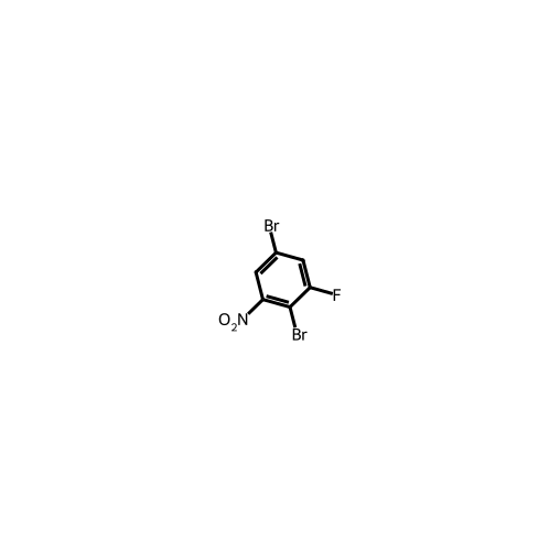 O=[N+]([O-])c1cc(Br)cc(F)c1Br